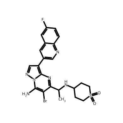 CC(NC1CCS(=O)(=O)CC1)c1nc2c(-c3cnc4ccc(F)cc4c3)cnn2c(N)c1Br